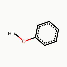 [TiH][O]c1ccccc1